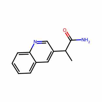 CC(C(N)=O)c1cnc2ccccc2c1